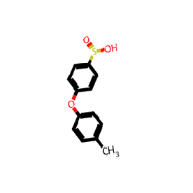 Cc1ccc(Oc2ccc(S(=O)O)cc2)cc1